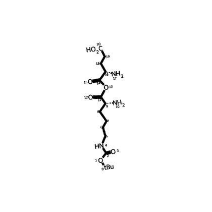 CC(C)(C)OC(=O)NCCCC[C@@H](N)C(=O)OC(=O)[C@@H](N)CCC(=O)O